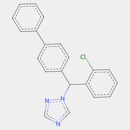 Clc1ccccc1C(c1ccc(-c2ccccc2)cc1)n1cncn1